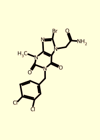 Cn1c(=O)n(Cc2ccc(Cl)c(Cl)c2)c(=O)c2c1nc(Br)n2CC(N)=O